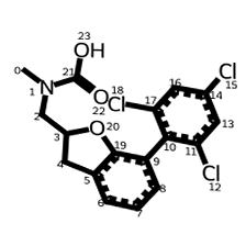 CN(CC1Cc2cccc(-c3c(Cl)cc(Cl)cc3Cl)c2O1)C(=O)O